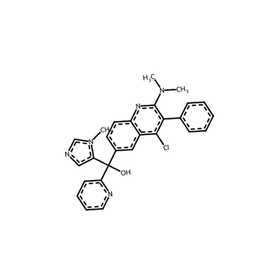 CN(C)c1nc2ccc(C(O)(c3ccccn3)c3cncn3C)cc2c(Cl)c1-c1ccccc1